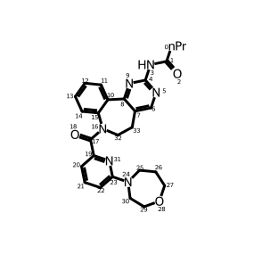 CCCC(=O)Nc1ncc2c(n1)-c1ccccc1N(C(=O)c1cccc(N3CCCOCC3)n1)CC2